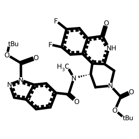 CN(C(=O)c1ccc2cnn(C(=O)OC(C)(C)C)c2c1)[C@H]1CN(C(=O)OC(C)(C)C)Cc2[nH]c(=O)c3cc(F)c(F)cc3c21